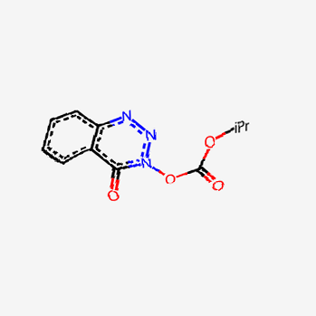 CC(C)OC(=O)On1nnc2ccccc2c1=O